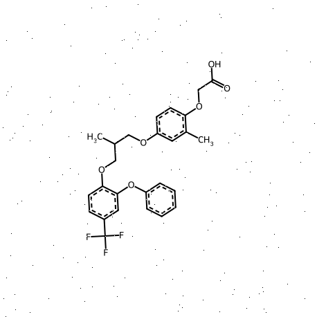 Cc1cc(OCC(C)COc2ccc(C(F)(F)F)cc2Oc2ccccc2)ccc1OCC(=O)O